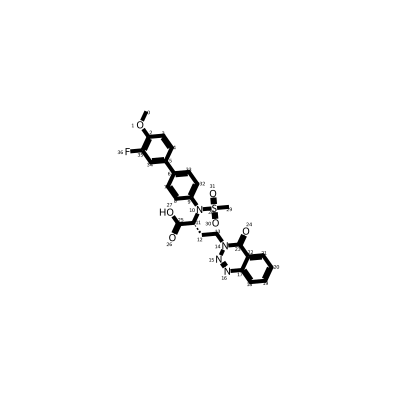 COc1ccc(-c2ccc(N([C@H](CCn3nnc4ccccc4c3=O)C(=O)O)S(C)(=O)=O)cc2)cc1F